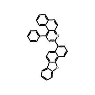 c1ccc(-c2nc(-c3cccc4c3ccc3c5ccccc5oc43)nc3ccc4ccccc4c23)cc1